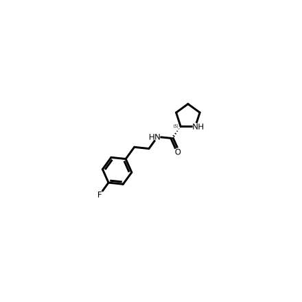 O=C(NCCc1ccc(F)cc1)[C@@H]1CCCN1